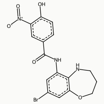 O=C(Nc1cc(Br)cc2c1NCCCO2)c1ccc(O)c([N+](=O)[O-])c1